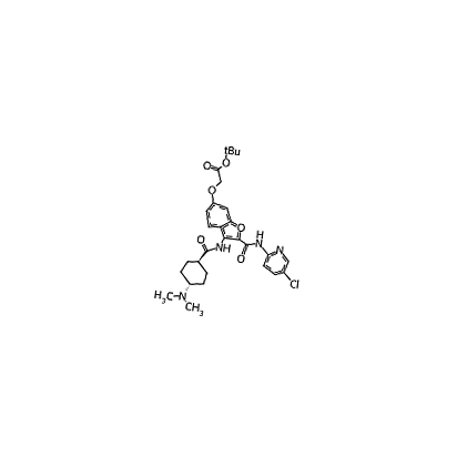 CN(C)[C@H]1CC[C@H](C(=O)Nc2c(C(=O)Nc3ccc(Cl)cn3)oc3cc(OCC(=O)OC(C)(C)C)ccc23)CC1